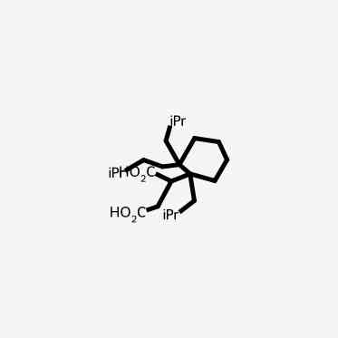 CC(C)CCC1(CC(C)C)CCCCC1(CC(C)C)C(CC(=O)O)C(=O)O